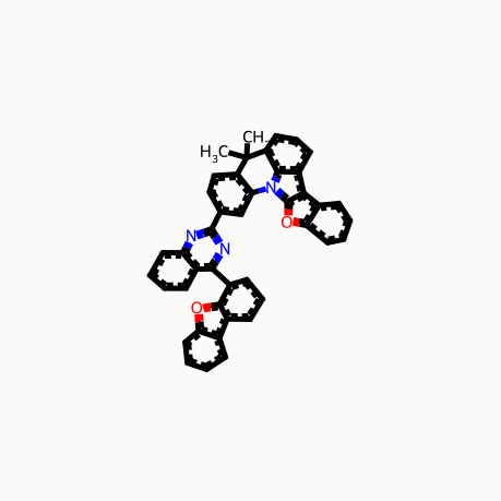 CC1(C)c2ccc(-c3nc(-c4cccc5c4oc4ccccc45)c4ccccc4n3)cc2-n2c3oc4ccccc4c3c3cccc1c32